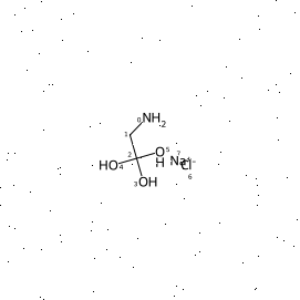 NCC(O)(O)O.[Cl-].[Na+]